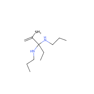 C=C([SiH3])C(CC)(NCCC)NCCC